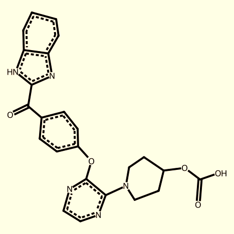 O=C(O)OC1CCN(c2nccnc2Oc2ccc(C(=O)c3nc4ccccc4[nH]3)cc2)CC1